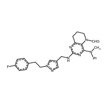 CC(C)N(C)c1nc(NCc2cnn(CCc3ccc(F)cc3)c2)nc2c1N(C=O)CCC2